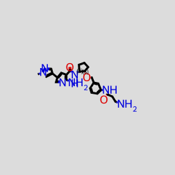 Cn1cc(-c2cnc(N)c(C(=O)N[C@H]3CCC[C@@H]3OCc3cccc(NC(=O)CCN)c3)c2)cn1